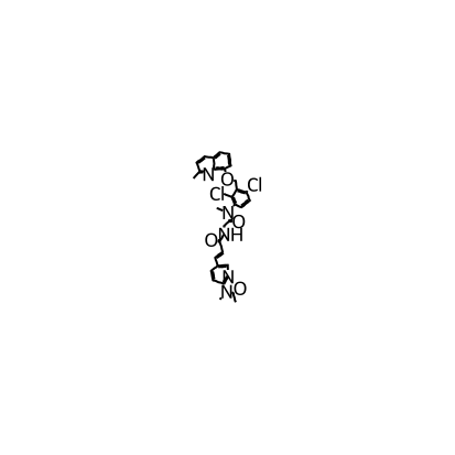 CC(=O)N(C)c1ccc(C=CC(=O)NCC(=O)N(C)c2ccc(Cl)c(COc3cccc4ccc(C)nc34)c2Cl)cn1